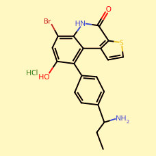 CCC(N)c1ccc(-c2c(O)cc(Br)c3[nH]c(=O)c4sccc4c23)cc1.Cl